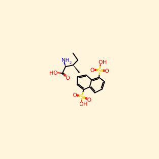 CC[C@@H](C)[C@H](N)C(=O)O.O=S(=O)(O)c1cccc2c(S(=O)(=O)O)cccc12